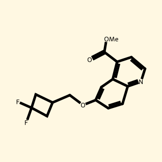 COC(=O)c1ccnc2ccc(OCC3CC(F)(F)C3)cc12